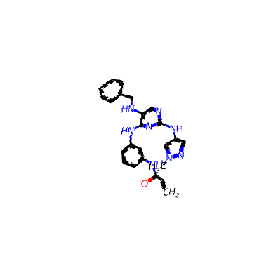 C=CC(=O)Nc1cccc(Nc2nc(Nc3cnn(C)c3)ncc2NCc2ccccc2)c1